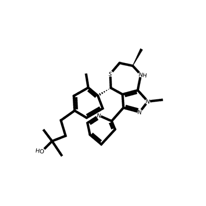 Cc1cc(CCC(C)(C)O)ccc1[C@@H]1SC[C@@H](C)Nc2c1c(-c1ccccn1)nn2C